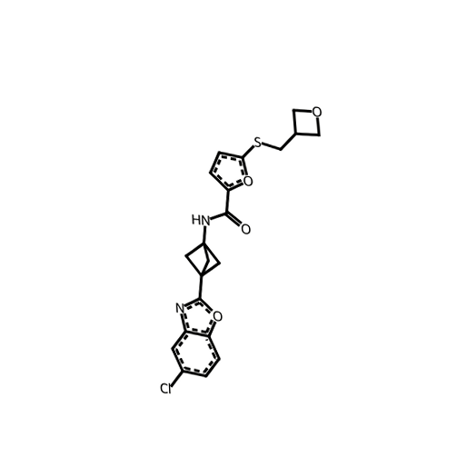 O=C(NC12CC(c3nc4cc(Cl)ccc4o3)(C1)C2)c1ccc(SCC2COC2)o1